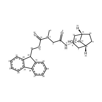 CN(CC(=O)N[C@H]1C[C@H]2CC[C@@H](C1)N2C(=O)O)C(=O)OCC1c2ccccc2-c2ccccc21